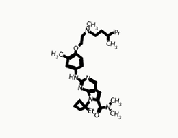 CCC1(n2c(C(=O)N(C)C)cc3cnc(Nc4ccc(OCCN(C)CCC(C)C(C)C)c(C)c4)nc32)CCC1